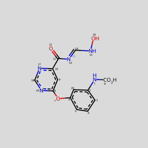 O=C(O)Nc1cccc(Oc2cc(C(=O)/N=C/NO)ncn2)c1